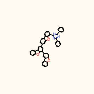 c1ccc(-c2nc(-c3ccccc3)nc(-c3cccc4c3oc3cc(-c5cc(-c6ccc7oc8ccccc8c7c6)c6oc7ccccc7c6c5)ccc34)n2)cc1